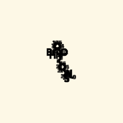 Cc1nc(-c2ccc(CCNC(=O)c3ccccc3Br)cc2)cs1